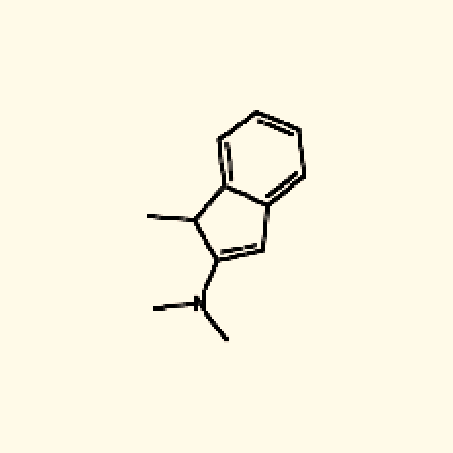 CC1C(N(C)C)=Cc2ccccc21